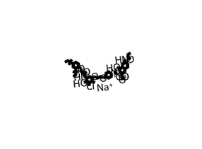 CCC(=O)Nc1ccc2cc(S(=O)(=O)[O-])c(N=Nc3ccc(OCCOc4cc(NC(=O)COc5ccc(C(C)(C)CC)cc5C(C)(C)CC)c(O)c(Cl)c4C)cc3)c(O)c2c1.[Na+]